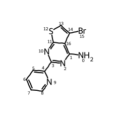 Nc1nc(-c2ccccn2)nc2scc(Br)c12